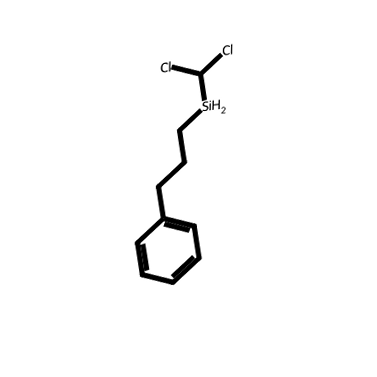 ClC(Cl)[SiH2]CCCc1ccccc1